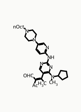 CCCCCCCCN1CCN(c2ccc(Nc3ncc(/C(C)=C(\C=O)C(C)=O)c(N(C)C4CCCC4)n3)nc2)CC1